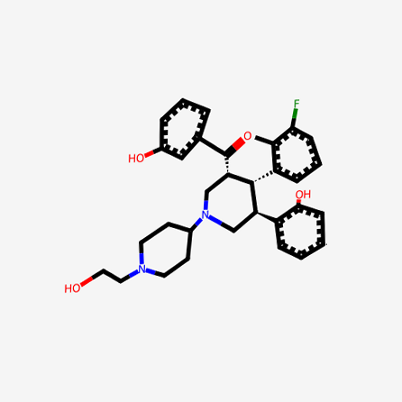 Cc1c(F)cccc1[C@H]1[C@@H](C(=O)c2cccc(O)c2)CN(C2CCN(CCO)CC2)C[C@@H]1c1cc[c]cc1O